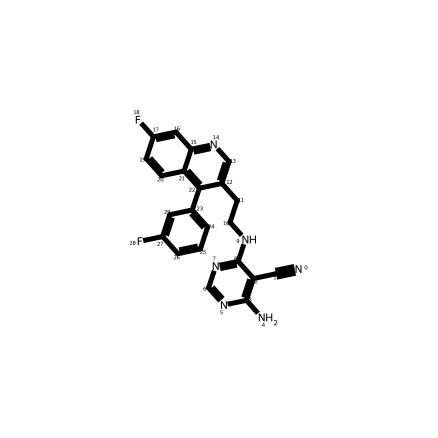 N#Cc1c(N)ncnc1NCCc1cnc2cc(F)ccc2c1-c1cccc(F)c1